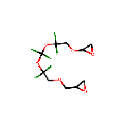 FC(F)(COCC1CO1)OC(F)(F)OC(F)(F)COC1CO1